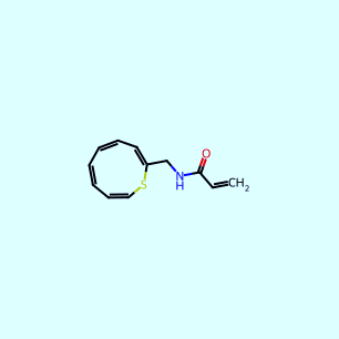 C=CC(=O)NCc1cccccccs1